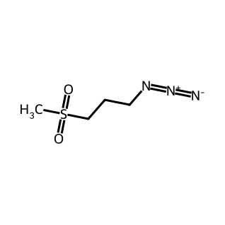 CS(=O)(=O)CCCN=[N+]=[N-]